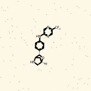 FC(F)(F)c1cnc(Nc2ccc([C@@H]3O[C@H]4CNC3C4)cc2)cn1